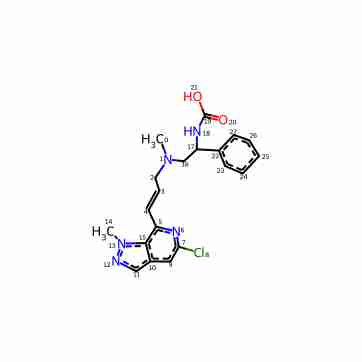 CN(CC=Cc1nc(Cl)cc2cnn(C)c12)CC(NC(=O)O)c1ccccc1